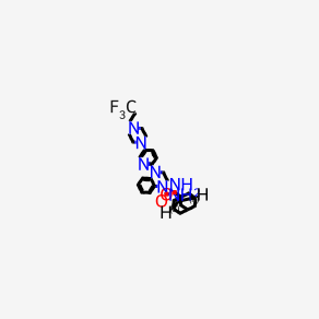 NC(=O)C12CC3C[C@H](C1)C(NC(=O)N1CCN(c4ccc(N5CCN(CCC(F)(F)F)CC5)cn4)c4ccccc41)[C@@H](C3)C2